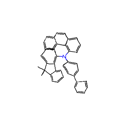 CC1(C)c2ccccc2-c2c(N(c3ccc(-c4ccccc4)cc3)c3cccc4ccc5ccccc5c34)cccc21